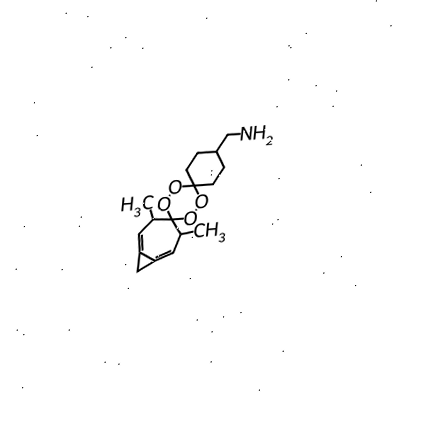 CC1C=C2CC2=CC(C)C12OOC1(CCC(CN)CC1)OO2